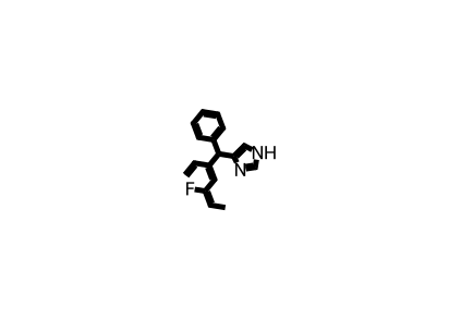 C=C/C(=C\C(F)=C/C)C(c1ccccc1)c1c[nH]cn1